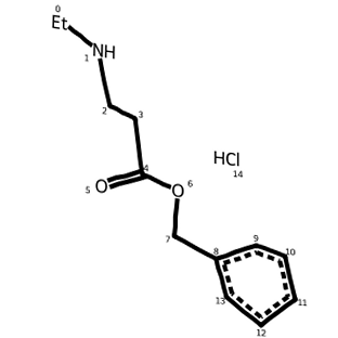 CCNCCC(=O)OCc1ccccc1.Cl